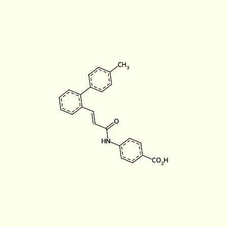 Cc1ccc(-c2ccccc2C=CC(=O)Nc2ccc(C(=O)O)cc2)cc1